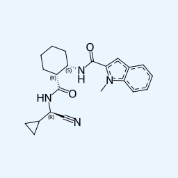 Cn1c(C(=O)N[C@H]2CCCC[C@H]2C(=O)N[C@@H](C#N)C2CC2)cc2ccccc21